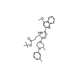 COc1cc(C(=O)NC(CCC(=O)OC(C)(C)C)C(=O)N2CCN(c3cccc(C)c3)C(C)C2)nc2ccccc12